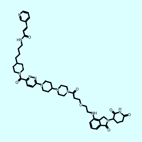 O=C(/C=C/c1cccnc1)NCCCCC1CCN(C(=O)c2ccc(N3CCC(N4CCN(C(=O)CCOCCNc5cccc6c5CN(C5CCC(=O)NC5=O)C6=O)CC4)CC3)nn2)CC1